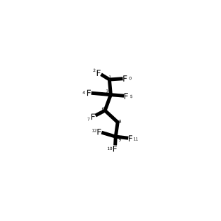 FC(F)C(F)(F)C(F)CC(F)(F)F